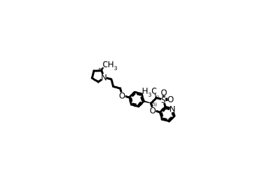 C[C@@H]1CCCN1CCCOc1ccc([C@@H]2Oc3cccnc3S(=O)(=O)[C@H]2C)cc1